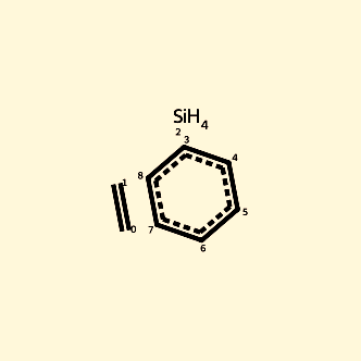 C=C.[SiH4].c1ccccc1